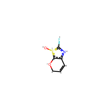 [O-][s+]1c(F)nc2c1OCC=C2